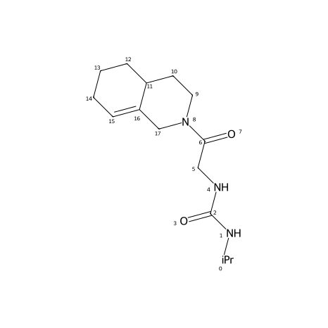 CC(C)NC(=O)NCC(=O)N1CCC2CCCC=C2C1